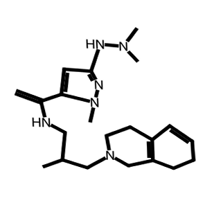 C=C(NCC(C)CN1CCC2=C(CCC=C2)C1)c1cc(NN(C)C)nn1C